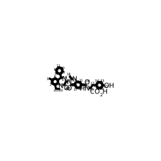 Cc1cc2c3c(c1)C(c1ccccc1)=NC(n1c(C)nc4cc(C(=O)NC(Cc5ccc(O)cc5)C(=O)O)ccc4c1=O)C(=O)N3CC2